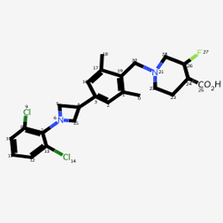 Cc1cc(C2CN(c3c(Cl)cccc3Cl)C2)cc(C)c1CN1CCC(C(=O)O)C(F)C1